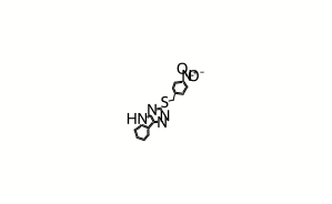 O=[N+]([O-])c1ccc(CSc2nnc3c(n2)[nH]c2ccccc23)cc1